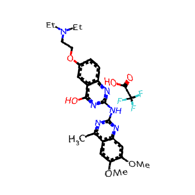 CCN(CC)CCOc1ccc2nc(Nc3nc(C)c4cc(OC)c(OC)cc4n3)nc(O)c2c1.O=C(O)C(F)(F)F